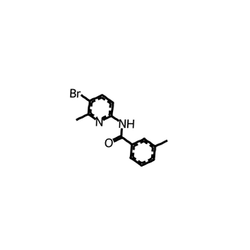 Cc1cccc(C(=O)Nc2ccc(Br)c(C)n2)c1